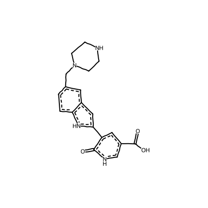 O=C(O)c1c[nH]c(=O)c(-c2cc3cc(CN4CCNCC4)ccc3[nH]2)c1